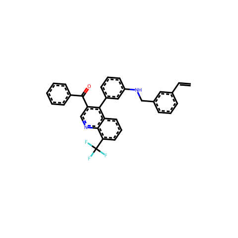 C=Cc1cccc(CNc2cccc(-c3c(C(=O)c4ccccc4)cnc4c(C(F)(F)F)cccc34)c2)c1